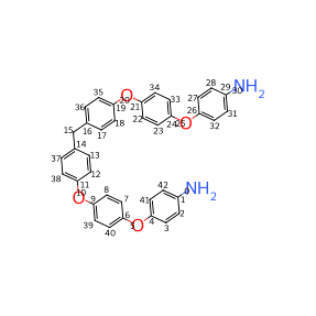 Nc1ccc(Oc2ccc(Oc3ccc(Cc4ccc(Oc5ccc(Oc6ccc(N)cc6)cc5)cc4)cc3)cc2)cc1